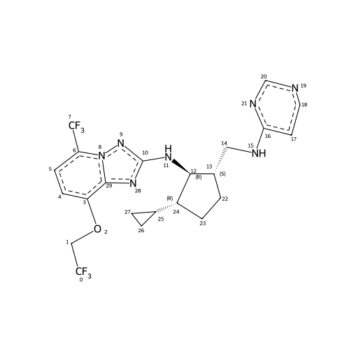 FC(F)(F)COc1ccc(C(F)(F)F)n2nc(N[C@H]3[C@H](CNc4ccncn4)CC[C@@H]3C3CC3)nc12